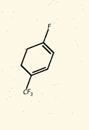 FC1=CC=C(C(F)(F)F)C[CH]1